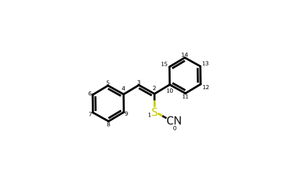 N#CSC(=Cc1ccccc1)c1ccccc1